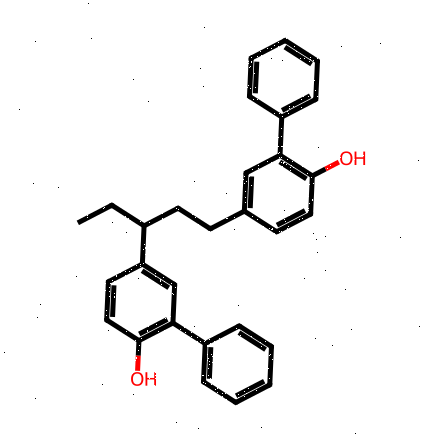 CCC(CCc1ccc(O)c(-c2ccccc2)c1)c1ccc(O)c(-c2ccccc2)c1